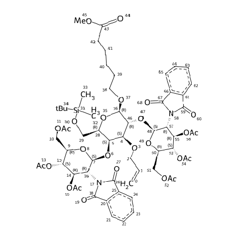 C=CCO[C@H]1[C@@H](O[C@@H]2O[C@H](COC(C)=O)[C@@H](OC(C)=O)[C@H](OC(C)=O)[C@H]2N2C(=O)c3ccccc3C2=O)[C@@H](CO[Si](C)(C)C(C)(C)C)O[C@@H](OCCCCCC(=O)OC)[C@@H]1O[C@@H]1O[C@H](COC(C)=O)[C@@H](OC(C)=O)[C@H](OC(C)=O)[C@H]1N1C(=O)c2ccccc2C1=O